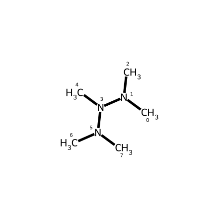 CN(C)N(C)N(C)C